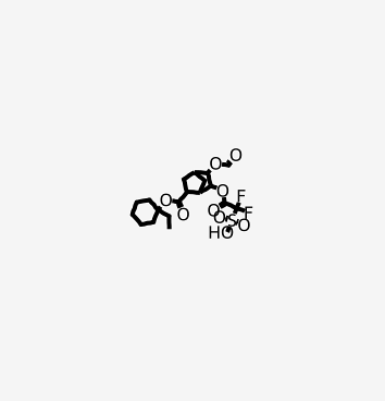 CCC1(OC(=O)C2CC3CC2C(OC(=O)C(F)(F)S(=O)(=O)O)C3OC=O)CCCCC1